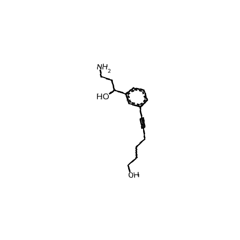 NCCC(O)c1cccc(C#CCCCCO)c1